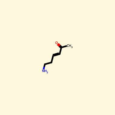 CC(=O)/C=C/CCN